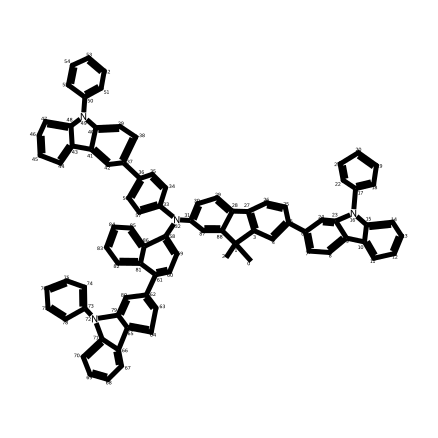 CC1(C)c2cc(-c3ccc4c5ccccc5n(-c5ccccc5)c4c3)ccc2-c2ccc(N(c3ccc(-c4ccc5c(c4)c4ccccc4n5-c4ccccc4)cc3)c3ccc(-c4ccc5c6ccccc6n(-c6ccccc6)c5c4)c4ccccc34)cc21